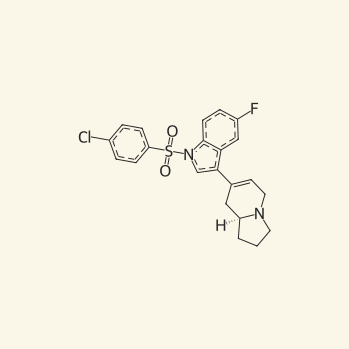 O=S(=O)(c1ccc(Cl)cc1)n1cc(C2=CCN3CCC[C@H]3C2)c2cc(F)ccc21